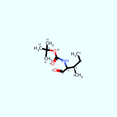 CC[C@@H](C)C([C]=O)NC(=O)OC(C)(C)C